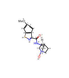 COc1ccc2c(C(=O)N[C@@H]3C[N+]4([O-])CCC3CC4)nsc2c1